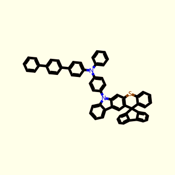 c1ccc(-c2ccc(-c3ccc(N(c4ccccc4)c4ccc(-n5c6ccccc6c6cc7c(cc65)Sc5ccccc5C75c6ccccc6-c6ccccc65)cc4)cc3)cc2)cc1